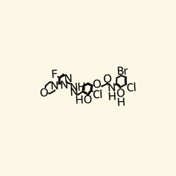 O=C(COc1ccc(/C=N\Nc2ncc(F)c(N3CCOCC3)n2)c(O)c1Cl)NC1=C(O)C(Cl)=CC(Br)C1